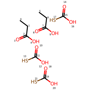 CCC(=O)O.CCC(=O)O.O=C(O)S.O=C(O)S.O=C(O)S